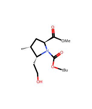 COC(=O)[C@@H]1C[C@@H](C)[C@@H](CCO)N1C(=O)OC(C)(C)C